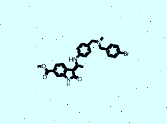 COC(=O)c1ccc2c(c1)NC(=O)C2=C(C)Nc1ccc(CN(C)Cc2ccc(Br)cc2)cc1